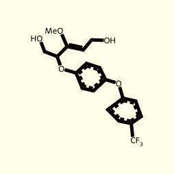 COC(=CCO)C(CO)Oc1ccc(Oc2ccc(C(F)(F)F)cc2)cc1